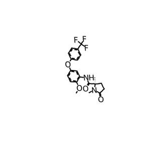 COc1ccc(Oc2ccc(C(F)(F)F)cc2)cc1NC(=O)[C@@]1(C)CCC(=O)N1C